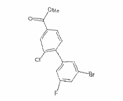 COC(=O)c1ccc(-c2cc(F)cc(Br)c2)c(Cl)c1